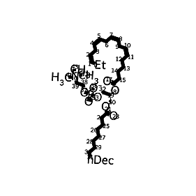 CC/C=C\C/C=C\C/C=C\C/C=C\CCCCC(=O)O[C@H](COC(=O)CCCCCCCCCCCCCCCCC)COP(=O)([O-])OCC[N+](C)(C)C